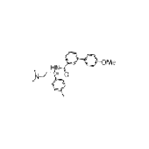 COc1ccc(-c2cccc(C(=O)N[C@@H](CCN(C)C)c3ccc(C)cc3)c2)cc1